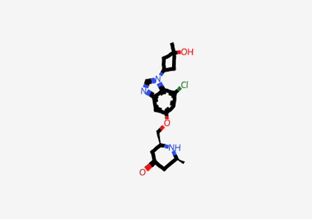 C[C@H]1CC(=O)C[C@@H](COc2cc(Cl)c3c(c2)ncn3C2CC(C)(O)C2)N1